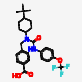 CC(C)(C)C1CCC(N(Cc2ccc(C(=O)O)cc2)C(=O)Nc2ccc(OC(F)(F)F)cc2)CC1